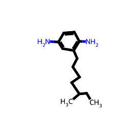 CCC(C)CCCCc1cc(N)ccc1N